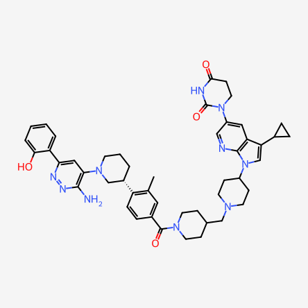 Cc1cc(C(=O)N2CCC(CN3CCC(n4cc(C5CC5)c5cc(N6CCC(=O)NC6=O)cnc54)CC3)CC2)ccc1[C@H]1CCCN(c2cc(-c3ccccc3O)nnc2N)C1